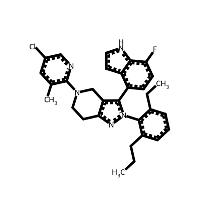 CCCc1cccc(CC)c1-n1nc2c(c1-c1ccc(F)c3[nH]ccc13)CN(c1ncc(Cl)cc1C)CC2